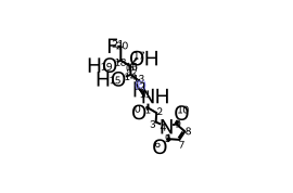 O=C(CCN1C(=O)C=CC1=O)N/N=C/C(O)[C@H](O)C(O)CF